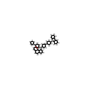 c1ccc(-c2ccc(N(c3ccc(-c4ccc(-n5c6ccccc6c6ccccc65)cc4)cc3)c3cccc4ccc5cccnc5c34)cc2)cc1